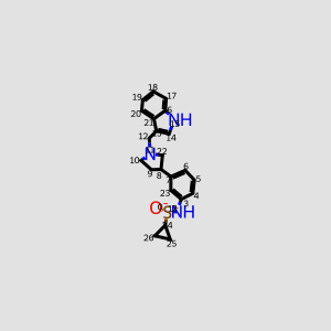 [O-][S+](Nc1cccc(C2CCN(Cc3c[nH]c4ccccc34)C2)c1)C1CC1